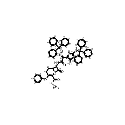 COC(=O)C1=C(Sc2ccncc2)CCC2C(NC(=O)C(=NOC(c3ccccc3)(c3ccccc3)c3ccccc3)c3nc(NC(c4ccccc4)(c4ccccc4)c4ccccc4)sc3Cl)C(=O)N12